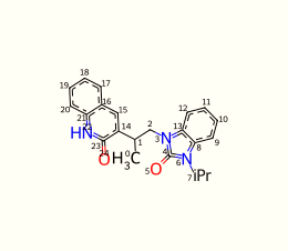 CC(Cn1c(=O)n(C(C)C)c2ccccc21)c1cc2ccccc2[nH]c1=O